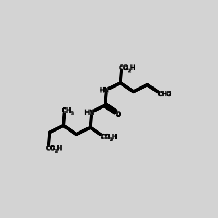 CC(CC(=O)O)CC(NC(=O)NC(CCC=O)C(=O)O)C(=O)O